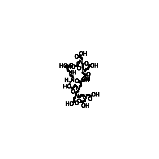 NCCNCC(=O)O.O=C(O)CN(CCN(CC(=O)O)CC(=O)O)CC(=O)O.O=C(O)CN(CCN(CC(=O)O)CC(=O)O)CCN(CC(=O)O)CC(=O)O